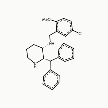 COc1ccc(Cl)cc1CN[C@H]1CCCN[C@H]1C(c1ccccc1)c1ccccc1